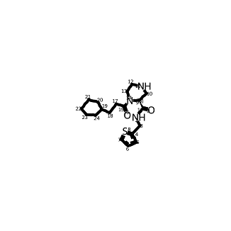 O=C(NCc1cccs1)[C@@H]1CNCCN1C(=O)CCC1CCCCC1